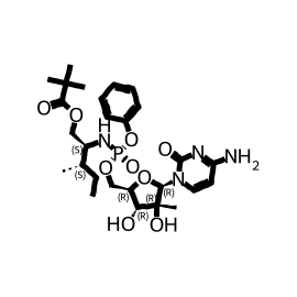 CC[C@H](C)[C@@H](COC(=O)C(C)(C)C)NP(=O)(OC[C@H]1O[C@@H](n2ccc(N)nc2=O)[C@](C)(O)[C@@H]1O)Oc1ccccc1